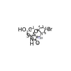 O=C(O)COc1ccc(Br)cc1/C=C1\SC(=S)NC1=O